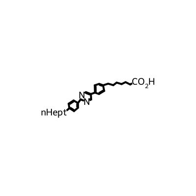 CCCCCCCc1ccc(-c2ncc(-c3ccc(CCCCCCC(=O)O)cc3)cn2)cc1